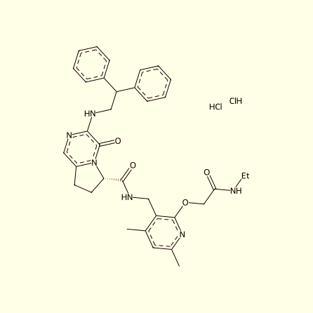 CCNC(=O)COc1nc(C)cc(C)c1CNC(=O)[C@@H]1CCc2cnc(NCC(c3ccccc3)c3ccccc3)c(=O)n21.Cl.Cl